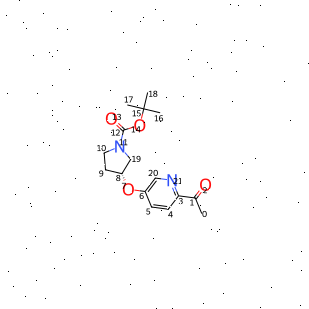 CC(=O)c1ccc(O[C@@H]2CCN(C(=O)OC(C)(C)C)C2)cn1